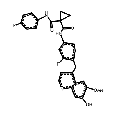 COc1cc2c(Cc3ccc(NC(=O)C4(C(=O)Nc5ccc(F)cc5)CC4)cc3F)ccnc2cc1O